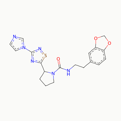 O=C(NCCc1ccc2c(c1)OCO2)N1CCCC1c1nc(-n2ccnc2)ns1